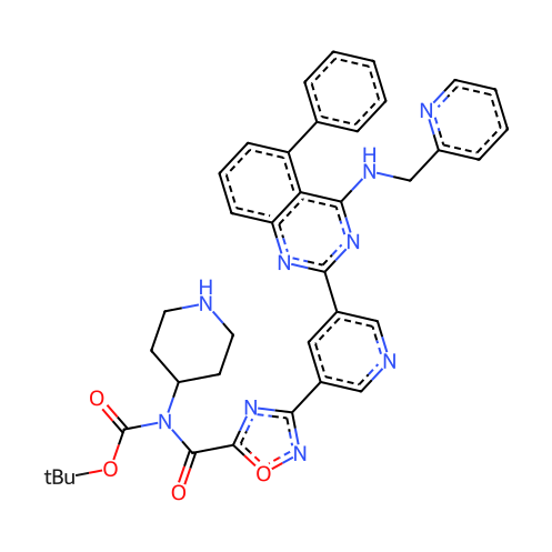 CC(C)(C)OC(=O)N(C(=O)c1nc(-c2cncc(-c3nc(NCc4ccccn4)c4c(-c5ccccc5)cccc4n3)c2)no1)C1CCNCC1